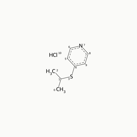 CC(C)Sc1ccncc1.Cl